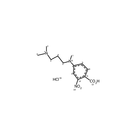 CN(C)CCCN(C)c1ccc(C(=O)O)c([N+](=O)[O-])c1.Cl